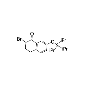 CC(C)[Si](Oc1ccc2c(c1)C(=O)C(Br)CC2)(C(C)C)C(C)C